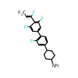 CCCC1CCC(c2ccc(-c3cc(F)c(/C(F)=C/C(F)(F)F)c(F)c3)c(F)c2)CC1